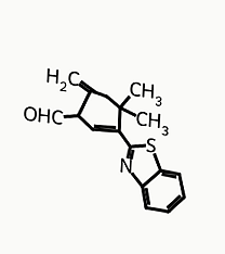 C=C1CC(C)(C)C(c2nc3ccccc3s2)=CC1C=O